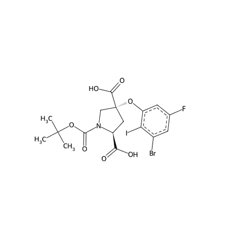 CC(C)(C)OC(=O)N1C[C@@](Oc2cc(F)cc(Br)c2I)(C(=O)O)C[C@H]1C(=O)O